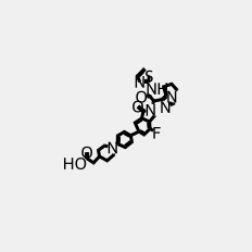 O=C(O)CC1CCN(c2ccc(-c3cc(F)c4c(c3)C(=O)N(C(C(=O)Nc3nccs3)c3ncn5c3CCC5)C4)cc2)CC1